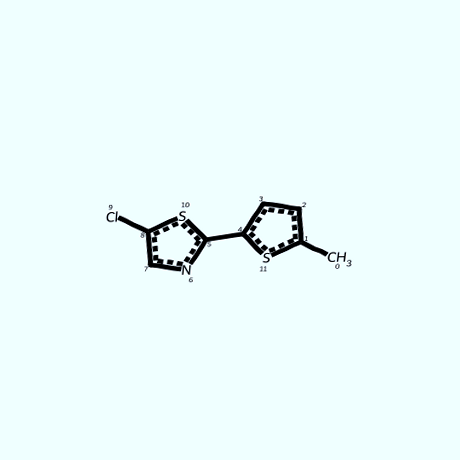 Cc1ccc(-c2ncc(Cl)s2)s1